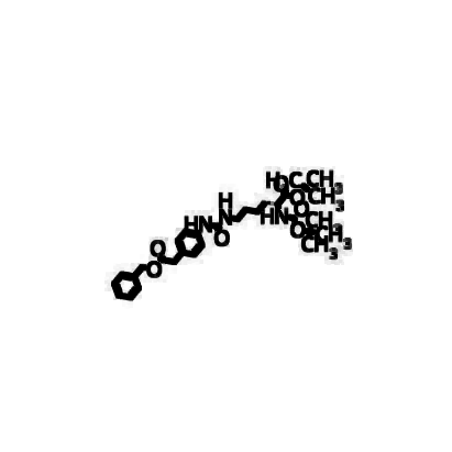 CC(C)(C)OC(=O)N[C@H](CCCCNC(=O)Nc1ccc(CC(=O)OCc2ccccc2)cc1)C(=O)OC(C)(C)C